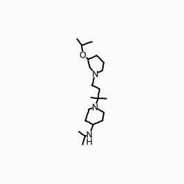 CC(C)NC1CCN(C(C)(C)CCN2CCCC(OC(C)C)C2)CC1